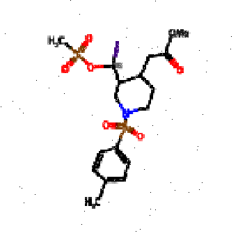 COC(=O)CC1CCN(S(=O)(=O)c2ccc(C)cc2)CC1[C@H](I)OS(C)(=O)=O